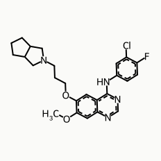 COc1cc2ncnc(Nc3ccc(F)c(Cl)c3)c2cc1OCCCN1CC2CCCC2C1